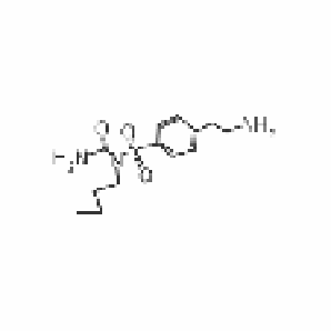 CCCCN(C(N)=O)S(=O)(=O)c1ccc(CCN)cc1